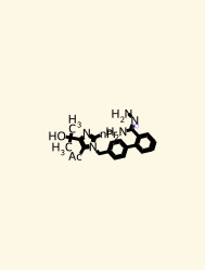 CCCc1nc(C(C)(C)O)c(C(C)=O)n1Cc1ccc(-c2cc#ccc2/C(N)=N/N)cc1